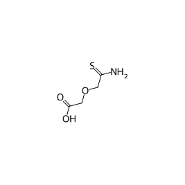 NC(=S)COCC(=O)O